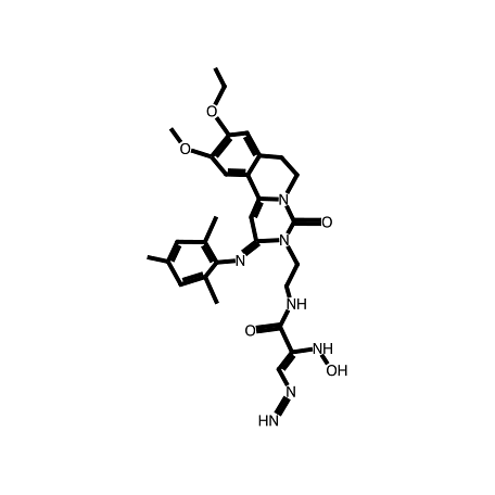 CCOc1cc2c(cc1OC)-c1c/c(=N\c3c(C)cc(C)cc3C)n(CCNC(=O)/C(=C/N=N)NO)c(=O)n1CC2